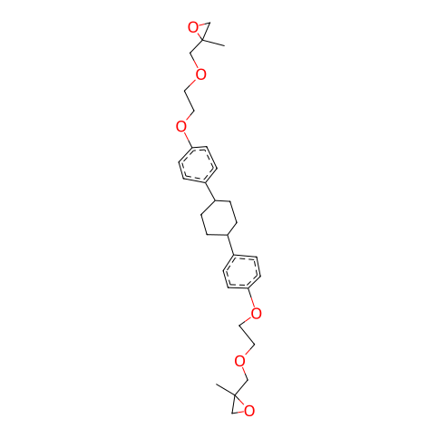 CC1(COCCOc2ccc(C3CCC(c4ccc(OCCOCC5(C)CO5)cc4)CC3)cc2)CO1